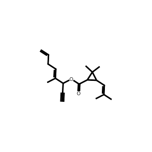 C#CC(OC(=O)C1C(C=C(C)C)C1(C)C)C(C)=CCC=C